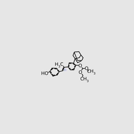 CCOC(OC)Oc1ccc(/C(C)=C/c2ccc(O)cc2)cc1C12CC3CC(CC(C3)C1)C2